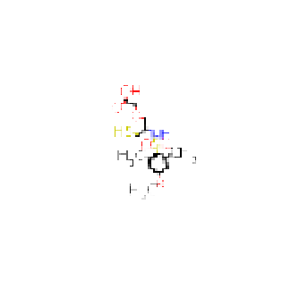 COc1cc(C)c(S(=O)(=O)NC(CS)COCC(=O)O)c(C)c1